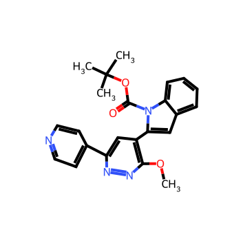 COc1nnc(-c2ccncc2)cc1-c1cc2ccccc2n1C(=O)OC(C)(C)C